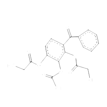 CCC(=O)Oc1ccc(C(=O)c2ccccc2)c(OC(=O)CC)c1OC(C)=O